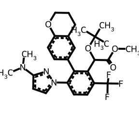 COC(=O)C(OC(C)(C)C)c1c(C(F)(F)F)ccc(-n2ccc(N(C)C)n2)c1-c1ccc2c(c1)CCCO2